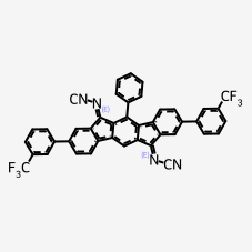 [C-]#[N+]/N=c1\c2cc(-c3cccc(C(F)(F)F)c3)ccc2c2cc3/c(=N/C#N)c4cc(-c5cccc(C(F)(F)F)c5)ccc4c3c(-c3ccccc3)c12